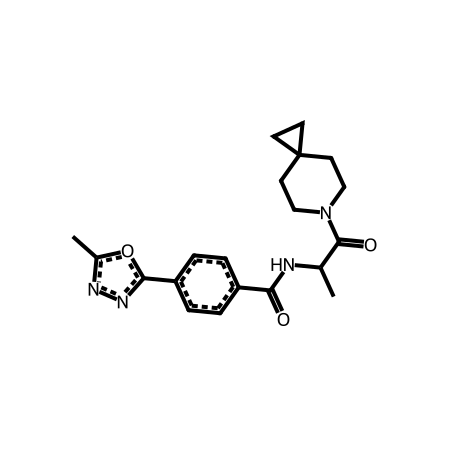 Cc1nnc(-c2ccc(C(=O)NC(C)C(=O)N3CCC4(CC3)CC4)cc2)o1